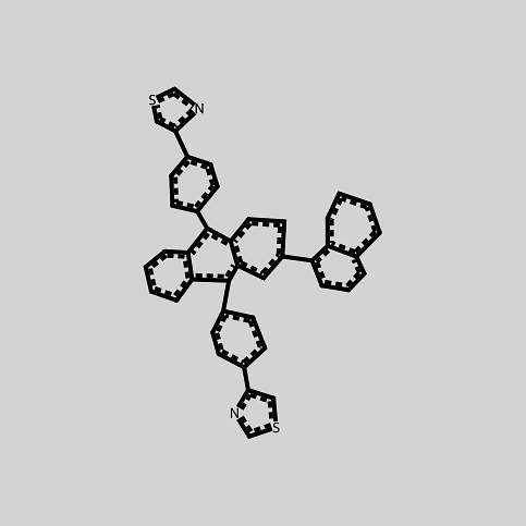 c1ccc2c(-c3ccc4c(-c5ccc(-c6cscn6)cc5)c5ccccc5c(-c5ccc(-c6cscn6)cc5)c4c3)cccc2c1